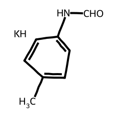 Cc1ccc(NC=O)cc1.[KH]